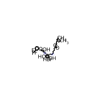 Br.CCN(CC)CCOC(=O)CCC/C=C\C[C@@H]1[C@@H](/C=C/[C@@H](O)COc2cccc(C(F)(F)F)c2)[C@H](O)C[C@@H]1O